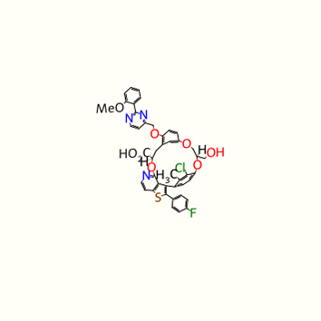 COc1ccccc1-c1nccc(COc2ccc3cc2C[C@H](C(=O)O)Oc2nccc4sc(-c5ccc(F)cc5)c(c24)-c2ccc(c(Cl)c2C)O[C@H](CO)CO3)n1